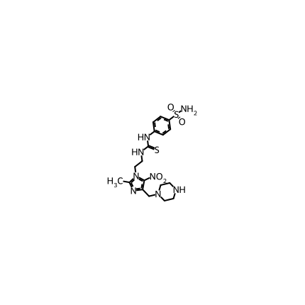 Cc1nc(CN2CCNCC2)c([N+](=O)[O-])n1CCNC(=S)Nc1ccc(S(N)(=O)=O)cc1